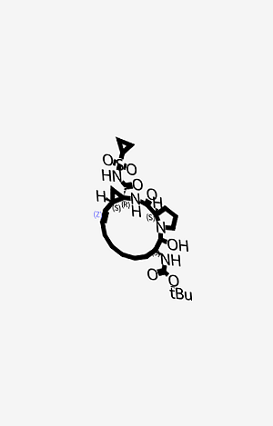 CC(C)(C)OC(=O)N[C@H]1CCCCC/C=C\[C@@H]2C[C@@]2(C(=O)NS(=O)(=O)C2CC2)NC(=O)[C@@H]2CCCN2C1O